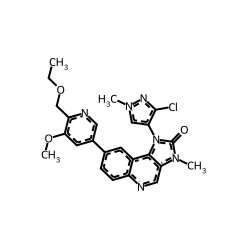 CCOCc1ncc(-c2ccc3ncc4c(c3c2)n(-c2cn(C)nc2Cl)c(=O)n4C)cc1OC